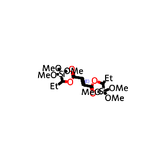 CCC(OC(=O)/C=C/C(=O)OC(CC)[Si](OC)(OC)OC)[Si](OC)(OC)OC